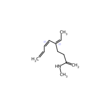 C=C/C=C\C(=C/C)CCC(=C)NC